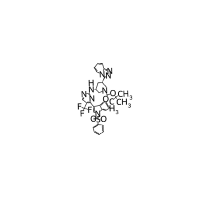 CC(C)(C)OC(=O)N1C[C@H](Nc2ncc(C(F)(F)F)c(-c3cn(S(=O)(=O)c4ccccc4)c4ccccc34)n2)C[C@@H](c2nnc3ccccn23)C1